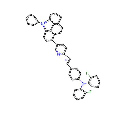 Fc1ccccc1N(c1ccc(/C=C/c2ccc(-c3ccc4c5c3ccc3cccc(c35)n4-c3ccccc3)cn2)cc1)c1ccccc1F